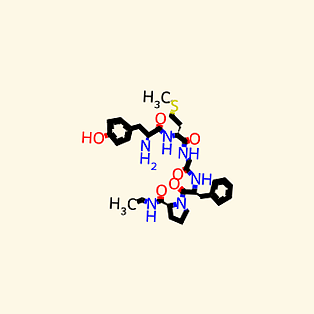 CCNC(=O)[C@@H]1CCCN1C(=O)[C@H](Cc1ccccc1)NC(=O)CNC(=O)[C@@H](CCSC)NC(=O)[C@@H](N)Cc1ccc(O)cc1